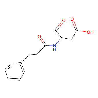 O=CC(CC(=O)O)NC(=O)CCc1ccccc1